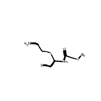 CC(C)(C)OC(=O)NC(C[S])SCCN